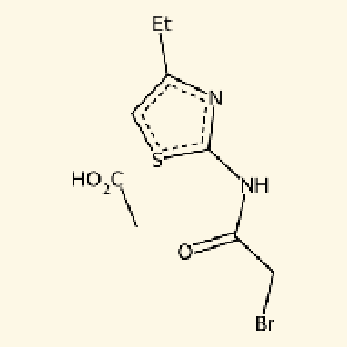 CC(=O)O.CCc1csc(NC(=O)CBr)n1